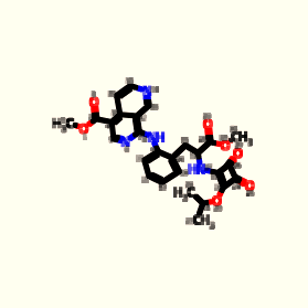 COC(=O)c1cnc(Nc2ccccc2CC(Nc2c(OC(C)C)c(=O)c2=O)C(=O)OC)c2cnccc12